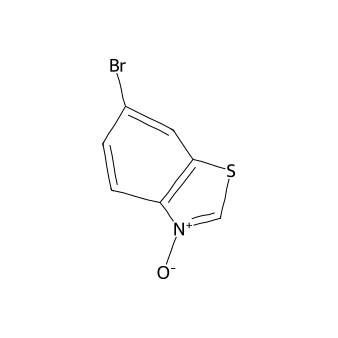 [O-][n+]1csc2cc(Br)ccc21